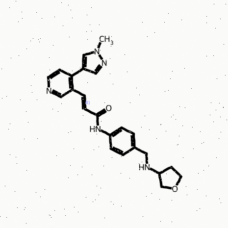 Cn1cc(-c2ccncc2/C=C/C(=O)Nc2ccc(CNC3CCOC3)cc2)cn1